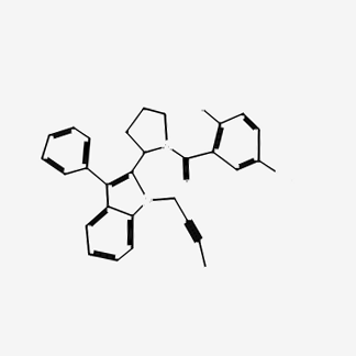 CC#CCn1c(C2CCCN2C(=O)c2cc(C(F)(F)F)ccc2Cl)c(-c2ccccc2)c2ccccc21